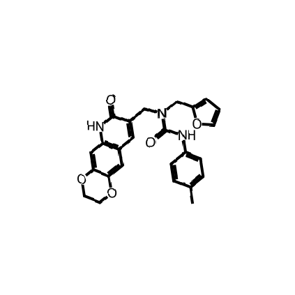 Cc1ccc(NC(=O)N(Cc2ccco2)Cc2cc3cc4c(cc3[nH]c2=O)OCCO4)cc1